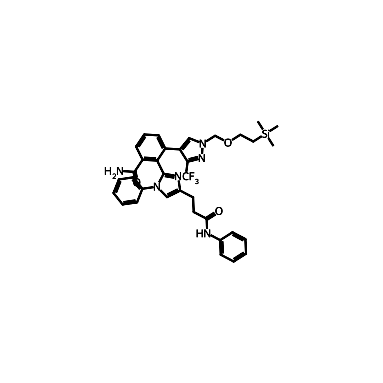 C[Si](C)(C)CCOCn1cc(-c2cccc(C(N)=O)c2-c2nc(CCC(=O)Nc3ccccc3)cn2-c2ccccc2)c(C(F)(F)F)n1